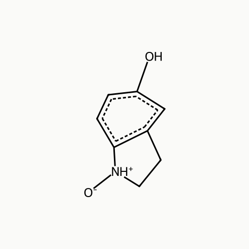 [O-][NH+]1CCc2cc(O)ccc21